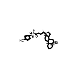 CC[C@H]1CC2C3CC[C@H]([C@H](C)CCC(=O)NS(=O)(=O)c4ccc(C#N)cc4)[C@@]3(C)CCC2[C@@]2(C)CCCC[C@@H]12